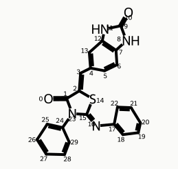 O=C1/C(=C/c2ccc3[nH]c(=O)[nH]c3c2)S/C(=N\c2ccccc2)N1c1ccccc1